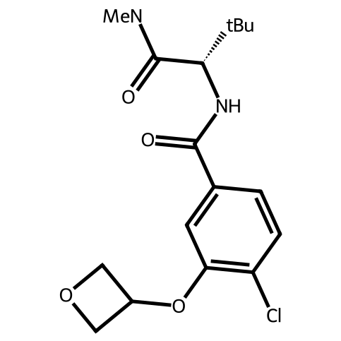 CNC(=O)[C@@H](NC(=O)c1ccc(Cl)c(OC2COC2)c1)C(C)(C)C